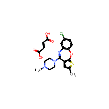 Cc1cc2c(s1)Oc1ccc(Cl)cc1N=C2N1CCN(C)CC1.O=C(O)C=CC(=O)O